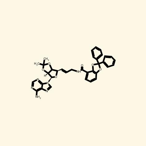 CC1(C)OC2[C@@H](/C=C/CNC(=O)c3cccc4c3OC(c3ccccc3)(c3ccccc3)O4)O[C@@H](n3cnc4c(N)ncnc43)[C@H]2O1